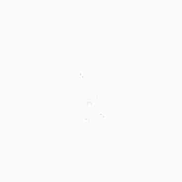 O=C(Nc1nc2c(C(=O)O)cccc2[nH]1)c1ccc(-c2ccc(F)cc2)nc1